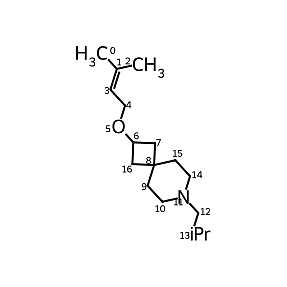 CC(C)=CCOC1CC2(CCN(CC(C)C)CC2)C1